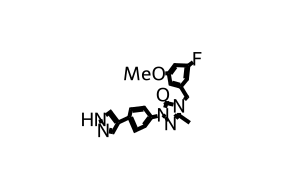 COc1cc(F)cc(Cn2c(C)nn(-c3ccc(-c4cn[nH]c4)cc3)c2=O)c1